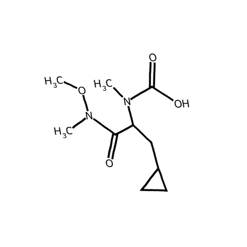 CON(C)C(=O)C(CC1CC1)N(C)C(=O)O